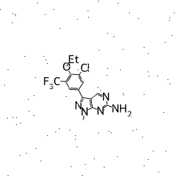 CCOc1c(Cl)cc(-c2nn(C)c3nc(N)ncc23)cc1C(F)(F)F